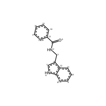 O=C(NCc1c[nH]c2ncccc12)c1ccccn1